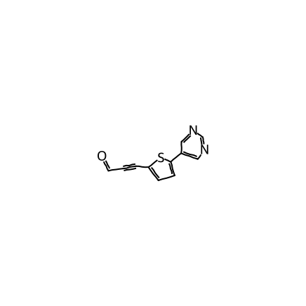 O=CC#Cc1ccc(-c2cncnc2)s1